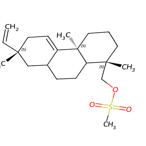 C=C[C@]1(C)CC=C2C(CCC3[C@@](C)(COS(C)(=O)=O)CCC[C@]23C)C1